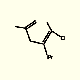 C=C(C)C/C(=C(\C)Cl)C(C)C